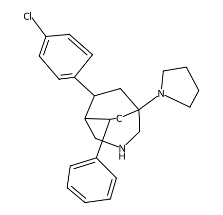 Clc1ccc(C2CC3(N4CCCC4)CNCC2C(c2ccccc2)C3)cc1